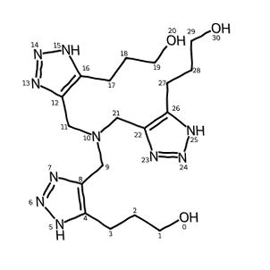 OCCCc1[nH]nnc1CN(Cc1nn[nH]c1CCCO)Cc1nn[nH]c1CCCO